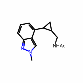 CC(=O)NCC1CC1c1cccc2nn(C)cc12